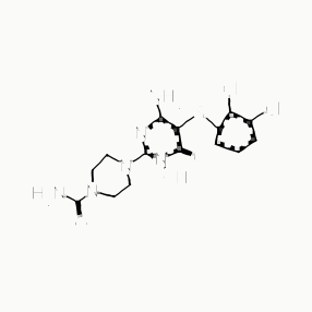 Cn1c(N2CCN(C(N)=O)CC2)nc(N)c(Sc2cccc(Cl)c2Cl)c1=O